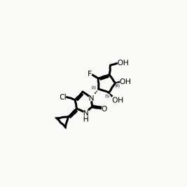 O=C1NC(=C2CC2)C(Cl)=CN1[C@@H]1C(F)=C(CO)[C@@H](O)[C@H]1O